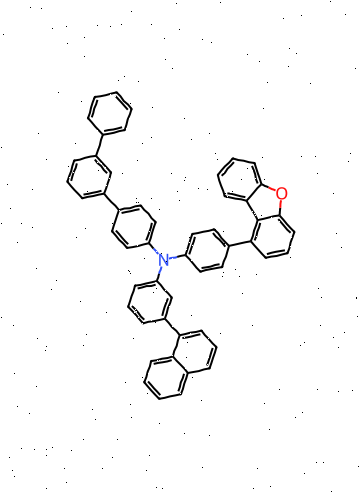 c1ccc(-c2cccc(-c3ccc(N(c4ccc(-c5cccc6oc7ccccc7c56)cc4)c4cccc(-c5cccc6ccccc56)c4)cc3)c2)cc1